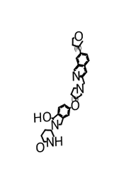 O=C1CCC(N2Cc3cc(O[C@H]4CCN(Cc5cc6ccc([C@H]7CCOC7)cc6cn5)C4)ccc3C2O)CN1